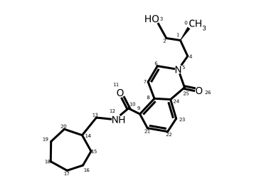 C[C@H](CO)Cn1ccc2c(C(=O)NCC3CCCCCC3)cccc2c1=O